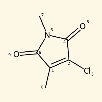 CC1=C(Cl)C(=O)N(C)C1=O